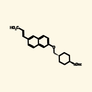 CCCCCCCCCC[C@H]1CC[C@H](COc2ccc3cc(C=CC(=O)O)ccc3c2)CC1